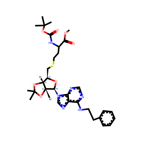 COC(=O)C(CCSC[C@H]1O[C@@H](n2cnc3c(NCCc4ccccc4)ncnc32)[C@@H]2OC(C)(C)O[C@@H]21)NC(=O)OC(C)(C)C